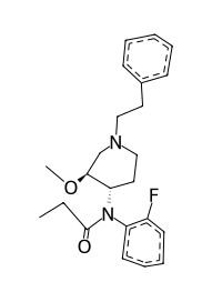 CCC(=O)N(c1ccccc1F)[C@H]1CCN(CCc2ccccc2)C[C@@H]1OC